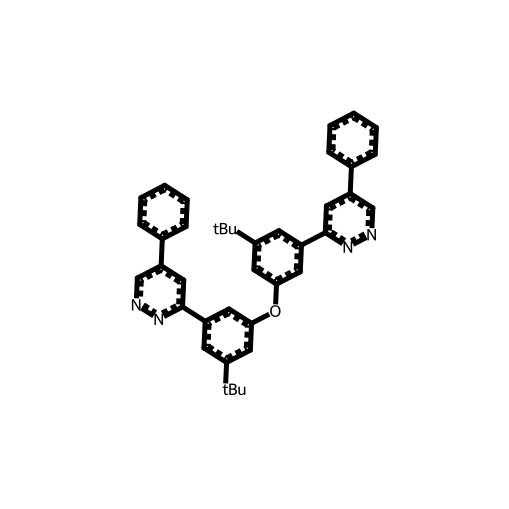 CC(C)(C)c1cc(Oc2cc(-c3cc(-c4ccccc4)cnn3)cc(C(C)(C)C)c2)cc(-c2cc(-c3ccccc3)cnn2)c1